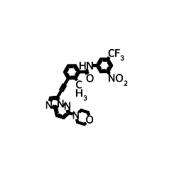 Cc1c(C#Cc2cnc3ccc(N4CCOCC4)nn23)cccc1C(=O)Nc1cc([N+](=O)[O-])cc(C(F)(F)F)c1